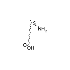 CC(CCCCCCCCC(=O)O)SCCN